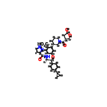 C[C@H](NC(=O)c1ccn(C)n1)[C@H](Oc1ccc(C(=O)O)c([C@@H]2CCCN(C(=O)[C@H]3COC(=O)C3)C2)c1)c1ccc(C2CC2)cc1